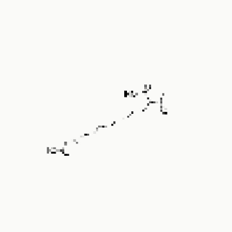 CC(=O)C(CCCCCCCCCCC(=O)O)C(=O)O